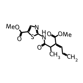 C=C/C=C(/C(=O)OC)C(C)C(=O)Nc1ncc(C(=O)OC)s1